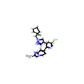 Cc1cn2ccc(-c3ncc(F)cc3-c3cnn(CC4(F)CCCC4)c3)cc2n1